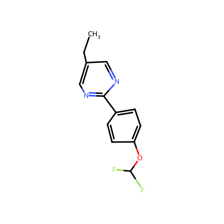 CCc1cnc(-c2ccc(OC(F)F)cc2)nc1